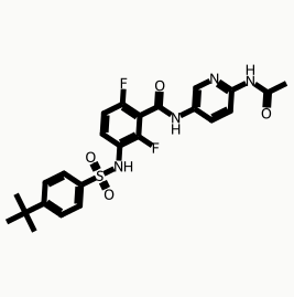 CC(=O)Nc1ccc(NC(=O)c2c(F)ccc(NS(=O)(=O)c3ccc(C(C)(C)C)cc3)c2F)cn1